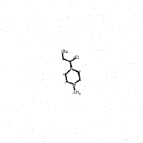 CCC(CC(C)(C)C)N1CCN(C)CC1